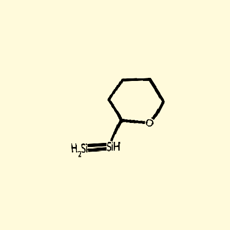 [SiH2]=[SiH]C1CCCCO1